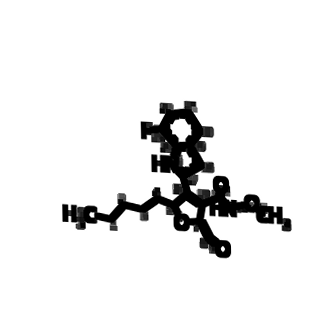 CCCCCC1OC(=C=O)C(C(=O)NOC)=C1c1cc2cccc(F)c2[nH]1